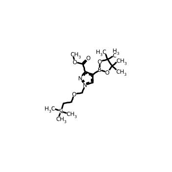 COC(=O)c1nn(COCC[Si](C)(C)C)cc1B1OC(C)(C)C(C)(C)O1